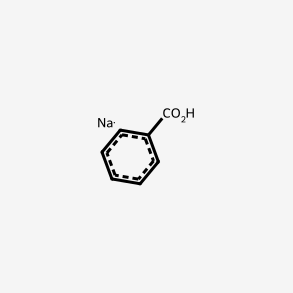 O=C(O)c1ccccc1.[Na]